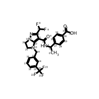 CC(NC(=O)c1c(C(F)F)nn2c1N(Cc1cccc(C(F)(F)F)c1)CC2)c1ccc(C(=O)O)cc1